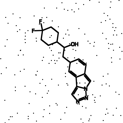 OC(CC1C=Cc2cn3nncc3c2=C1)C1CCC(F)(F)CC1